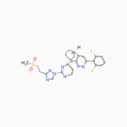 CS(=O)(=O)CCc1ncn(-c2nccc([C@]34CC[C@H](C3)c3cc(-c5c(F)cccc5F)nnc34)n2)n1